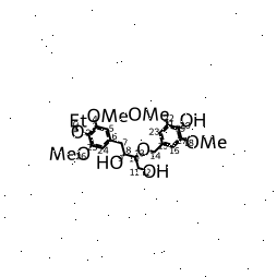 CCOc1c(OC)cc(CC(O)C(CO)OCc2cc(OC)c(O)c(OC)c2)cc1OC